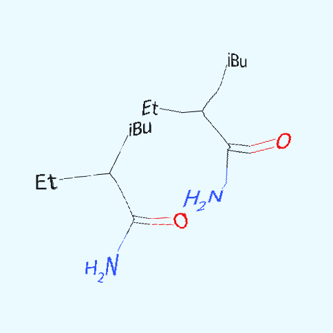 CCC(C)C(CC)C(N)=O.CCC(C)C(CC)C(N)=O